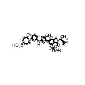 CNS(=O)(=O)c1cc(-c2sc(Nc3cccc(N4CCN(C(=O)O)CCC4=O)n3)nc2C)cc2c1C(=O)N([C@@H](C)C1CC1)C2